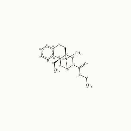 CCOC(=O)C1CC2C3Cc4ccccc4[C@@]2(CC)CC1N3C